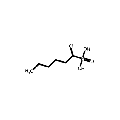 CCCCCC(Cl)P(=O)(O)O